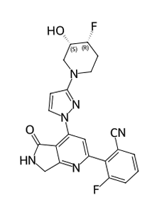 N#Cc1cccc(F)c1-c1cc(-n2ccc(N3CC[C@@H](F)[C@@H](O)C3)n2)c2c(n1)CNC2=O